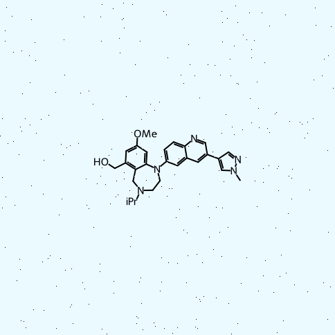 COc1cc(CO)c2c(c1)N(c1ccc3ncc(-c4cnn(C)c4)cc3c1)CCN(C(C)C)C2